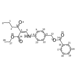 CCCC(=O)C(=CNc1ccc(COC(=O)c2ccccc2)cc1)C(=O)OCC